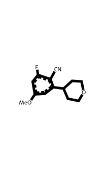 COc1cc(F)c(C#N)c(C2CCOCC2)c1